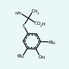 CCCC(C)(Sc1cc(C(C)(C)C)c(O)c(C(C)(C)C)c1)C(=O)O